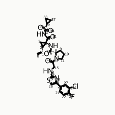 C=C[C@@H]1C[C@]1(NC(=O)[C@@H]1CCCN1C(=O)CNc1nc(-c2ccc(F)c(Cl)c2)cs1)C(=O)NS(=O)(=O)C1CC1